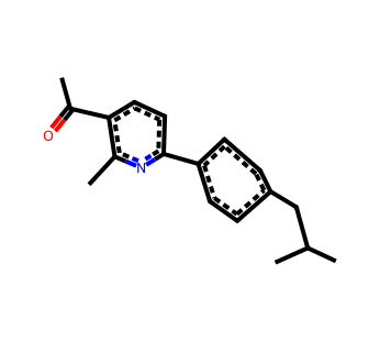 CC(=O)c1ccc(-c2ccc(CC(C)C)cc2)nc1C